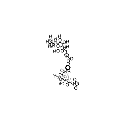 CC(C)[C@H](NC(=O)CCN1C(=O)C=CC1=O)C(=O)N[C@@H](C)C(=O)Nc1ccc(COC(=O)N2CC[C@@H](CC(=O)N[C@@H]3[C@@H](O)[C@H](O)[C@@H](Nc4ncnc5nc[nH]c45)O[C@H]3CO)C2)cc1